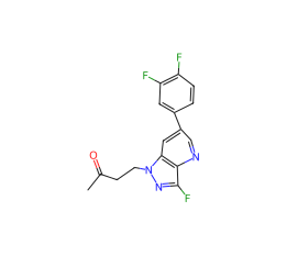 CC(=O)CCn1nc(F)c2ncc(-c3ccc(F)c(F)c3)cc21